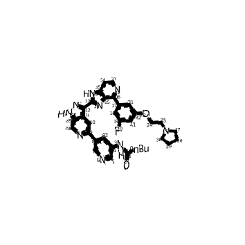 CCCCC(=O)Nc1cncc(-c2cc3c(-c4nc5c(-c6cc(F)cc(OCCN7CCCC7)c6)nccc5[nH]4)n[nH]c3cn2)c1